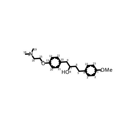 COc1ccc(CCC(O)Cc2ccc(OCCN(C)C)cc2)cc1